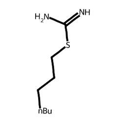 CCCCCCCSC(=N)N